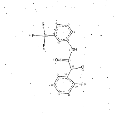 O=C(Nc1cccc(C(F)(F)F)c1)C(Cl)c1ccccc1F